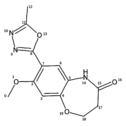 COc1cc2c(cc1-c1nnc(C)o1)NC(=O)CCO2